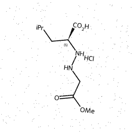 COC(=O)CNN[C@@H](CC(C)C)C(=O)O.Cl